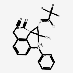 CC1(C)[C@@H](C=C(Cl)C(F)(F)F)[C@]1(C(=O)O)c1c(CC#N)cccc1Oc1ccccc1